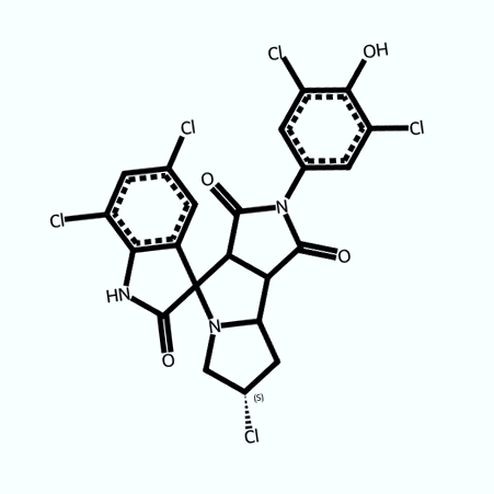 O=C1C2C3C[C@H](Cl)CN3C3(C(=O)Nc4c(Cl)cc(Cl)cc43)C2C(=O)N1c1cc(Cl)c(O)c(Cl)c1